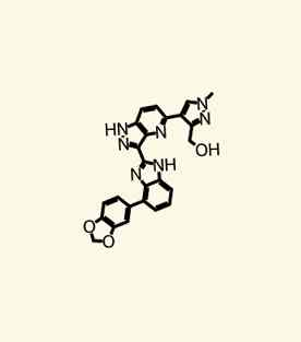 Cn1cc(-c2ccc3[nH]nc(-c4nc5c(-c6ccc7c(c6)OCO7)cccc5[nH]4)c3n2)c(CO)n1